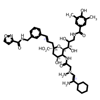 Cc1cc(C(=O)NCC(O)[C@@H](O)[C@@H]2O[C@@](C/C=C/c3cccc(CNC(=O)c4ccon4)c3)(C(=O)O)C[C@H](O)C2NC(=O)CN(N)/C=C(\N)C2CCCCC2)cc(C)c1O